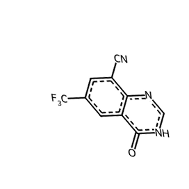 N#Cc1cc(C(F)(F)F)cc2c(=O)[nH]cnc12